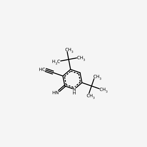 C#Cc1c(C(C)(C)C)cc(C(C)(C)C)[nH]c1=N